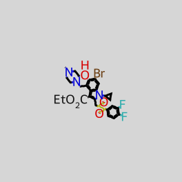 CCOC(=O)c1c(CS(=O)(=O)c2ccc(F)c(F)c2)n(C2CC2)c2cc(Br)c(O)c(CN3CCN(C)CC3)c12